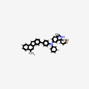 CC1=CC2=C(Cc3ccc(-c4ccc(N(C5=CCC6(C)CNC(C)(C/C=C\S)C6=C5)C5=CC=CCC5)cc4)cc32)C2C=CC=CC12